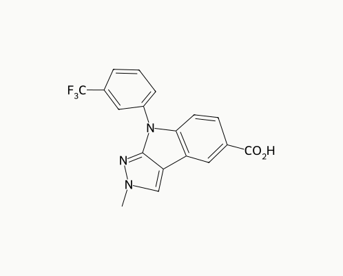 Cn1cc2c3cc(C(=O)O)ccc3n(-c3cccc(C(F)(F)F)c3)c2n1